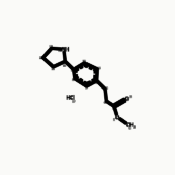 COC(=O)CCc1ccc(C2CCCN2)cc1.Cl